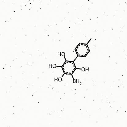 Bc1c(O)c(O)c(O)c(-c2ccc(C)cc2)c1O